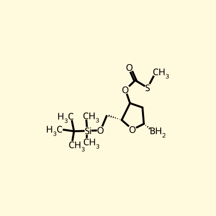 B[C@H]1CC(OC(=O)SC)[C@@H](CO[Si](C)(C)C(C)(C)C)O1